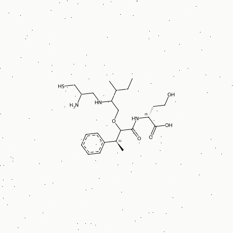 CCC(C)C(COC(C(=O)N[C@H](CCO)C(=O)O)[C@@H](C)c1ccccc1)NCC(N)CS